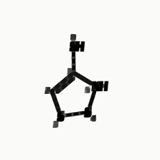 SC1=CSSN1